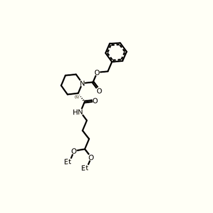 CCOC(CCCNC(=O)[C@@H]1CCCCN1C(=O)OCc1ccccc1)OCC